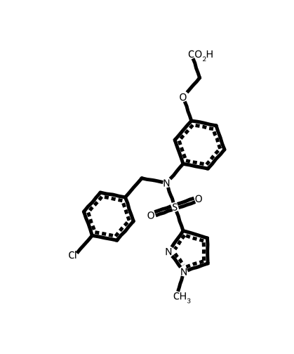 Cn1ccc(S(=O)(=O)N(Cc2ccc(Cl)cc2)c2cccc(OCC(=O)O)c2)n1